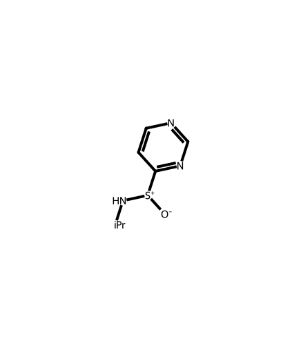 CC(C)N[S+]([O-])c1ccncn1